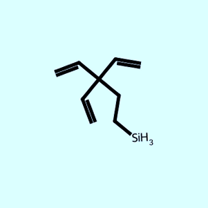 C=CC(C=C)(C=C)CC[SiH3]